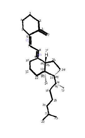 C=C1CC[CH]C/C1=C/C=C1\CCC[C@]2(C)[C@@H]([C@H](C)CCCC(C)C)CC[C@@H]12